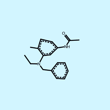 CCN(Cc1ccccc1)c1cc(NC(C)=O)ccc1C